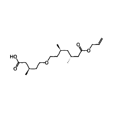 C=CCOC(=O)C[C@H](C)C[C@H](C)CCOCC[C@@H](C)CC(=O)O